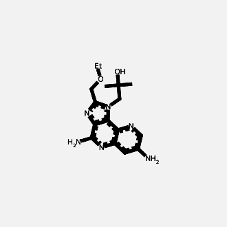 CCOCc1nc2c(N)nc3cc(N)cnc3c2n1CC(C)(C)O